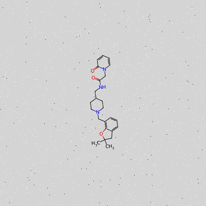 CC1(C)Cc2cccc(CN3CCC(CNC(=O)Cn4ccccc4=O)CC3)c2O1